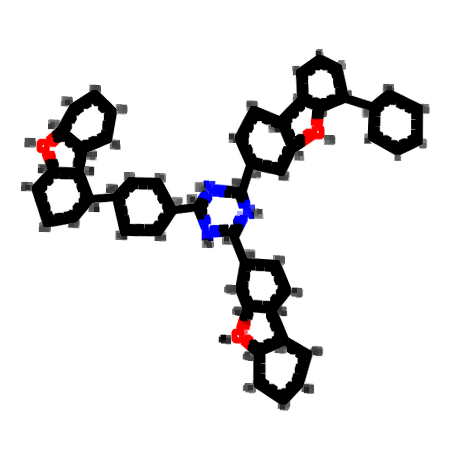 c1ccc(-c2cccc3c2oc2cc(-c4nc(-c5ccc(-c6cccc7oc8ccccc8c67)cc5)nc(-c5ccc6c(c5)oc5ccccc56)n4)ccc23)cc1